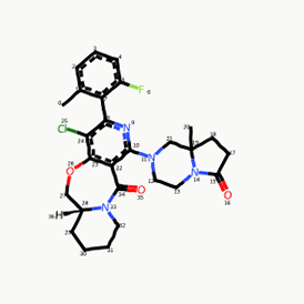 Cc1cccc(F)c1-c1nc(N2CCN3C(=O)CCC3(C)C2)c2c(c1Cl)OC[C@H]1CCCCN1C2=O